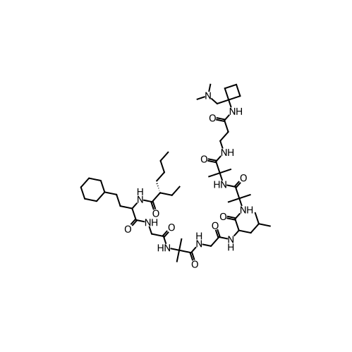 CCCC[C@H](CC)C(=O)NC(CCC1CCCCC1)C(=O)NCC(=O)NC(C)(C)C(=O)NCC(=O)NC(CC(C)C)C(=O)NC(C)(C)C(=O)NC(C)(C)C(=O)NCCC(=O)NC1(CN(C)C)CCC1